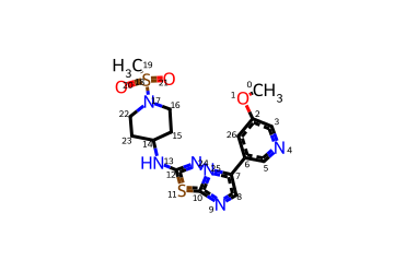 COc1cncc(-c2cnc3sc(NC4CCN(S(C)(=O)=O)CC4)nn23)c1